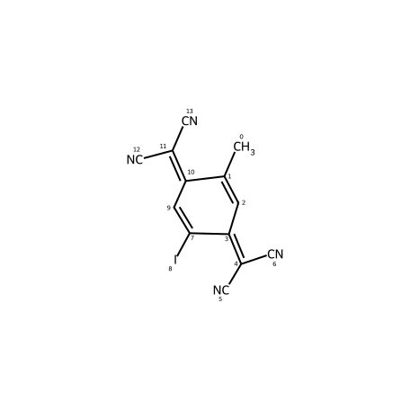 Cc1cc(=C(C#N)C#N)c(I)cc1=C(C#N)C#N